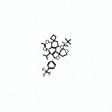 CC(=O)O[C@@H]1c2nc(C(C)C)c3c(c2C(O[Si](C)(C)C(C)(C)C)CC12CCC2)C1(CCOCC1)O[C@@H]3c1ccc(C(F)(F)F)cc1